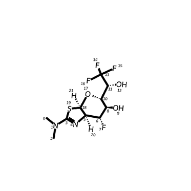 CN(C)C1=N[C@@H]2[C@@H](F)[C@H](O)[C@@H]([C@@H](O)C(F)(F)F)O[C@@H]2S1